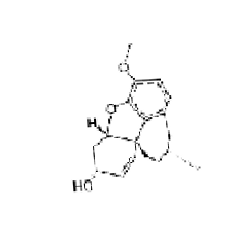 COc1ccc2c3c1O[C@H]1C[C@@H](O)C=C[C@@]31CC[C@@H](C)C2